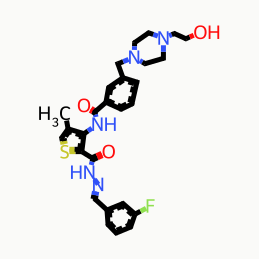 Cc1csc(C(=O)N/N=C/c2cccc(F)c2)c1NC(=O)c1cccc(CN2CCN(CCO)CC2)c1